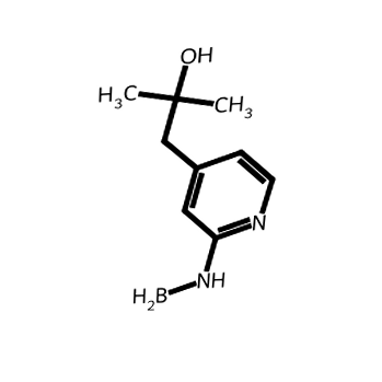 BNc1cc(CC(C)(C)O)ccn1